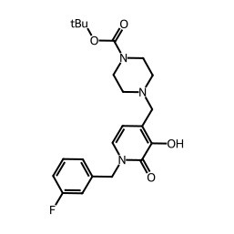 CC(C)(C)OC(=O)N1CCN(Cc2ccn(Cc3cccc(F)c3)c(=O)c2O)CC1